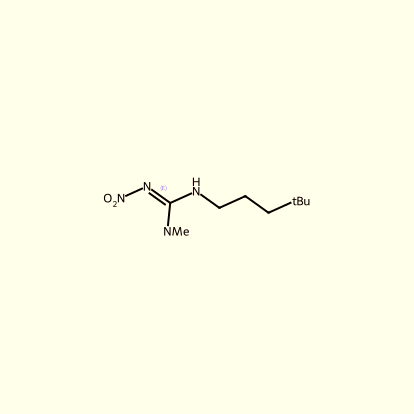 CN/C(=N\[N+](=O)[O-])NCCCC(C)(C)C